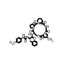 Cc1ccc(NC(=O)N[C@@H](Cc2ccccc2)C(=O)N[C@H]2COC(=O)[C@@H]3C[C@@H](C)CN3C(=O)CNC(=O)[C@@H]3CCCCN3C(=O)[C@@H]3CCCN3C2=O)cc1